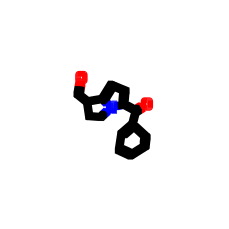 O=CC1CCn2c(C(=O)c3ccccc3)ccc21